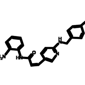 Cc1ccc(CNc2ccc(/C=C\C(=O)Nc3ccccc3N)cn2)cc1